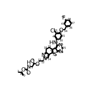 C=C(C)OC(=O)NCC(=O)OCCn1cc2c(n1)CCc1c-2sc2ncnc(Nc3ccc(OCc4cccc(F)c4)c(Cl)c3)c12